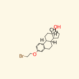 C[C@]12CC[C@@H]3c4ccc(OCCBr)cc4CC[C@H]3[C@@H]1CC[C@@H]2O